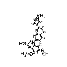 COc1cc(OC)c(F)c(N(CCO)c2ccc3ncc(-c4cnn(C)c4)nc3n2)c1F